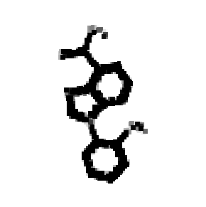 NC(=O)c1cccc2c1ncn2-c1ccccc1[N+](=O)[O-]